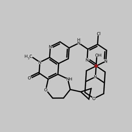 Cn1c(=O)c2c(c3cc(Nc4nc(N5C6COCC5CC(O)C6)ncc4Cl)cnc31)NC(C1CC1)CCO2